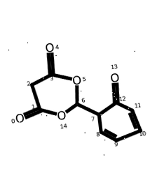 O=C1CC(=O)OC(C2C=CC=CC2=O)O1